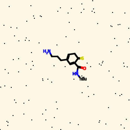 CCCCNC(=O)C1=CC(CCCN)=CCC1=S